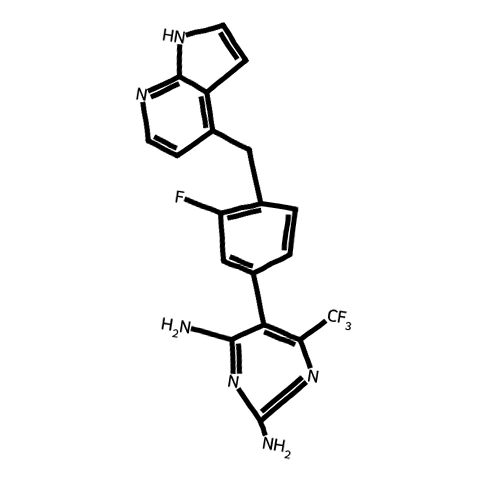 Nc1nc(N)c(-c2ccc(Cc3ccnc4[nH]ccc34)c(F)c2)c(C(F)(F)F)n1